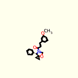 COc1cccc(/C=C/C(=O)N2COC3(CC3)[C@@H]2c2ccccc2)c1